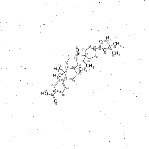 CCC1(C(=O)N2CC=C3C(C)(C)C(c4ccc(C(=O)O)cc4)=CC[C@]3(C)C2)CCN(C(=O)OC(C)(C)C)CC1